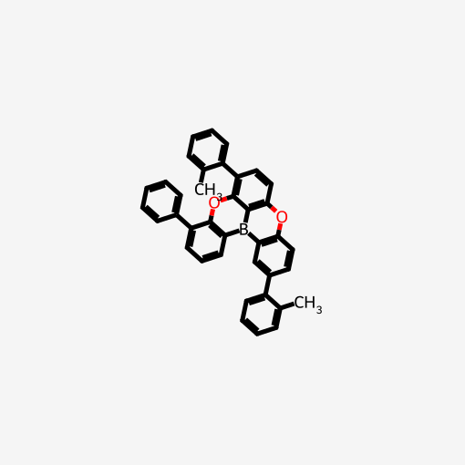 Cc1ccccc1-c1ccc2c(c1)B1c3cccc(-c4ccccc4)c3Oc3c(-c4ccccc4C)ccc(c31)O2